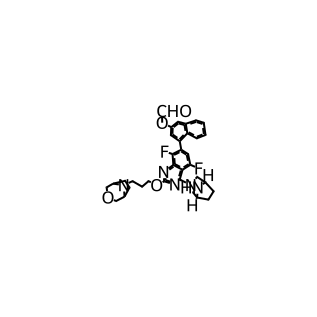 O=COc1cc(-c2cc(F)c3c(N4C[C@H]5CC[C@@H](C4)N5)nc(OCCCN4C5CCC4COC5)nc3c2F)c2ccccc2c1